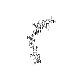 CC1(C)[C@H](NC(=O)c2ccc(N3C[C@@H]4[C@@H](CN5CCN(c6cc7c(cc6F)C(=O)N(C6CCC(=O)NC6=O)C7=O)CC5)[C@@H]4C3)nn2)C(C)(C)[C@H]1Oc1ccc(C#N)c(Cl)c1